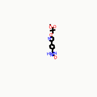 COC(=O)C(C)(C)COc1ccc(-c2ccc(-c3nc(OC)n[nH]3)cc2)cn1